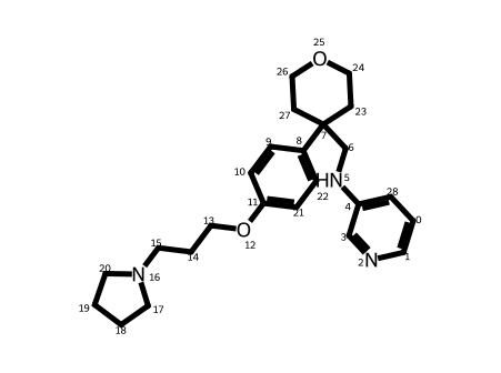 c1cncc(NCC2(c3ccc(OCCCN4CCCC4)cc3)CCOCC2)c1